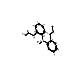 CCCc1ccccc1N(C)c1ccccc1CCC